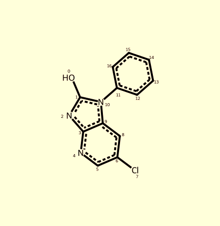 Oc1nc2ncc(Cl)cc2n1-c1ccccc1